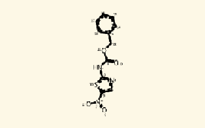 O=C(Nc1ncc([N+](=O)[O-])s1)OCc1ccccc1